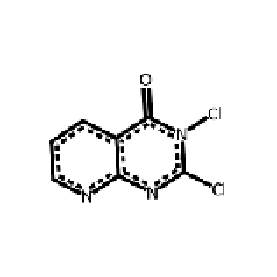 O=c1c2cccnc2nc(Cl)n1Cl